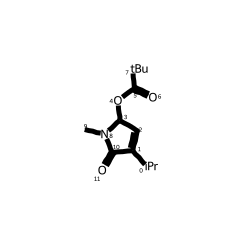 CC(C)C1=CC(OC(=O)C(C)(C)C)N(C)C1=O